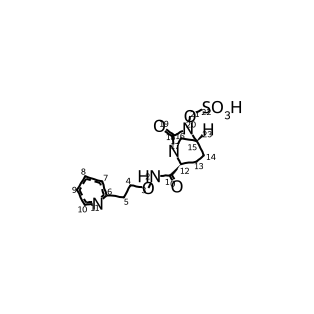 O=C(NOCCc1ccccn1)[C@@H]1CC[C@@H]2CN1C(=O)N2OS(=O)(=O)O